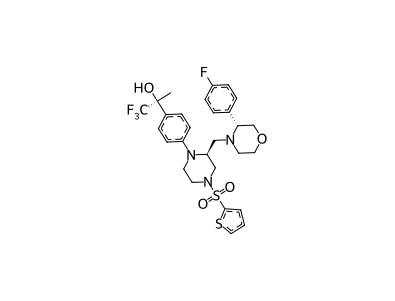 C[C@](O)(c1ccc(N2CCN(S(=O)(=O)c3cccs3)C[C@@H]2CN2CCOC[C@H]2c2ccc(F)cc2)cc1)C(F)(F)F